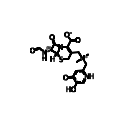 C[N+](C)(CC1=C(C(=O)[O-])N2C(=O)[C@@H](NC=O)[C@H]2SC1)Cc1cc(=O)c(O)c[nH]1